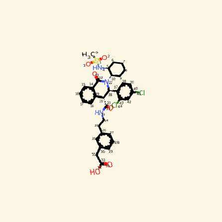 CS(=O)(=O)N[C@H]1CCCC[C@@H]1N1C(=O)c2ccccc2[C@@H](C(=O)NCCc2cccc(CC(=O)O)c2)[C@@H]1c1ccc(Cl)cc1Cl